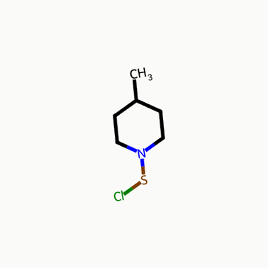 CC1CCN(SCl)CC1